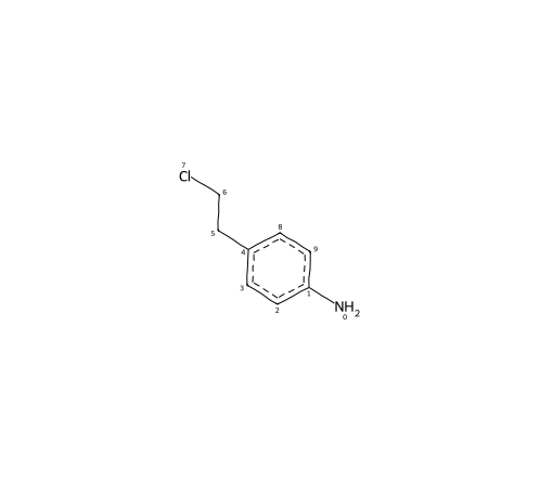 Nc1ccc(CCCl)cc1